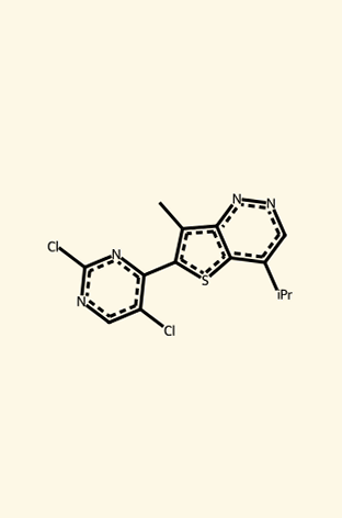 Cc1c(-c2nc(Cl)ncc2Cl)sc2c(C(C)C)cnnc12